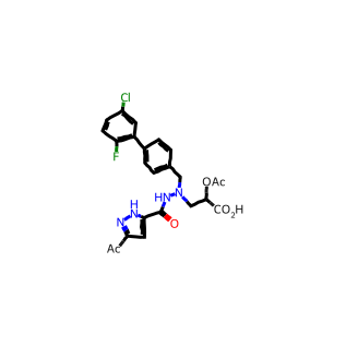 CC(=O)OC(CN(Cc1ccc(-c2cc(Cl)ccc2F)cc1)NC(=O)c1cc(C(C)=O)n[nH]1)C(=O)O